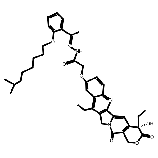 CCc1c2c(nc3ccc(OCC(=O)N/N=C(\C)c4ccccc4OCCCCCCC(C)C)cc13)-c1cc3c(c(=O)n1C2)COC(=O)[C@]3(O)CC